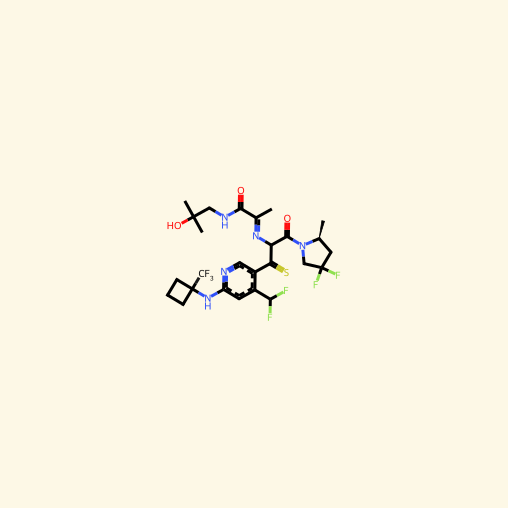 C/C(=N\C(C(=O)N1CC(F)(F)C[C@@H]1C)C(=S)c1cnc(NC2(C(F)(F)F)CCC2)cc1C(F)F)C(=O)NCC(C)(C)O